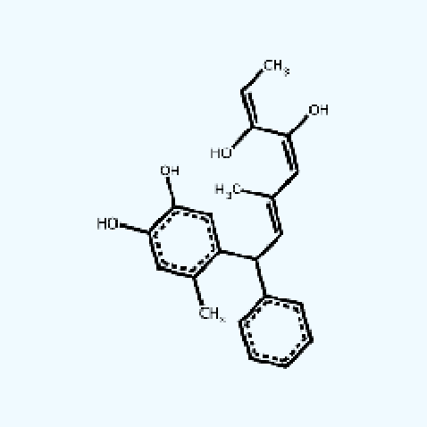 C\C=C(O)/C(O)=C\C(C)=C\C(c1ccccc1)c1cc(O)c(O)cc1C